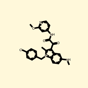 CNc1ccc2c(c1)c(C(=O)C(=O)Nc1ccnc(OC)c1)c(C)n2Cc1ccc(Cl)cc1